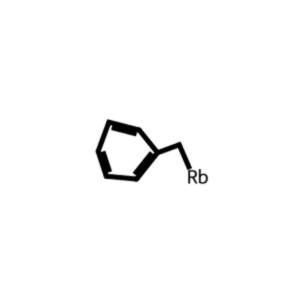 [Rb][CH2]c1ccccc1